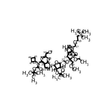 CCOP(=O)(OCC)C(COC)(Cc1nnn(COCC[Si](C)(C)C)n1)OC[C@H]1O[C@@H](n2ncc3c(N(C(=O)OC(C)(C)C)C4CCC4)nc(C=O)nc32)[C@@H]2OC(C)(C)O[C@@H]21